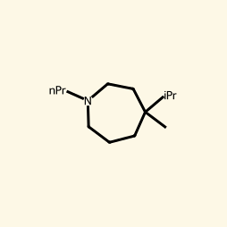 CCCN1CCCC(C)(C(C)C)CC1